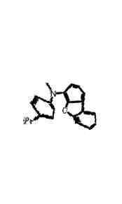 CC(C)c1ccc(N(C)c2cccc3c2oc2ccccc23)cc1